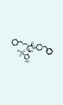 CC(C)S(=O)(=O)N1CSC[C@H]1C(=O)N[C@@H](CSCC1CCCCC1)C(=O)NC1CCN(Cc2ccccc2)CC1.Cl